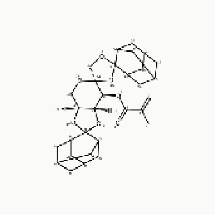 C=C(C)C(=O)O[C@H]1[C@@H]2OC3(O[C@@H]2CO[C@]12COC1(O2)C2CC4CC(C2)CC1C4)C1CC2CC(C1)CC3C2